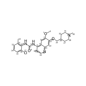 COc1cc2c(NC(=O)Nc3c(C)cccc3Cl)ncnc2cc1OCC1CCN(C)CC1